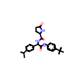 CC(C)c1ccc(C(NC(=O)C2CCC(=O)N2)C(=O)Nc2ccc(C(C)(C)C)cc2)cc1